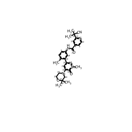 Cc1ccc(NC(=O)c2ccnc(C(C)(C)C#N)c2)cc1-c1cc(N2CCOC(C)(C)C2)c(=O)n(C)n1